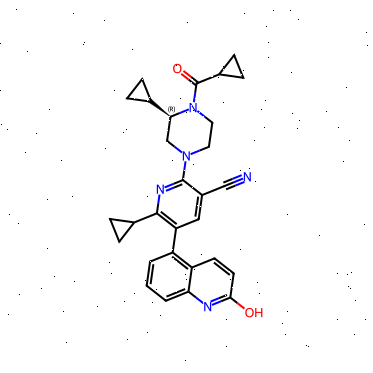 N#Cc1cc(-c2cccc3nc(O)ccc23)c(C2CC2)nc1N1CCN(C(=O)C2CC2)[C@H](C2CC2)C1